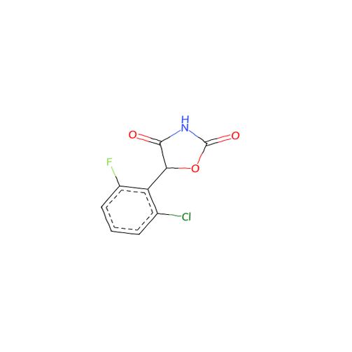 O=C1NC(=O)C(c2c(F)cccc2Cl)O1